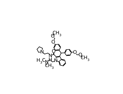 COCOc1ccc(C(c2ccc(OCOC)cc2)c2c(C(=O)NCCN3CCCC3)n(CCN(C)C)c3ccccc23)cc1